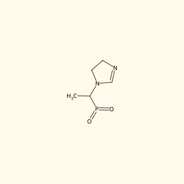 CC(N1C=NCC1)P(=O)=O